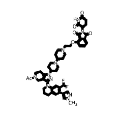 CC(=O)N1CCc2c(c(N3CCCc4cc(-c5cnn(C)c5)c(C(F)F)cc43)nn2C2CCN(C3CCN(CCOc4cccc5c4C(=O)N(C4CCC(=O)NC4=O)C5=O)CC3)CC2)C1